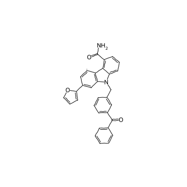 NC(=O)c1cccc2c1c1[c]cc(-c3ccco3)cc1n2Cc1cccc(C(=O)c2ccccc2)c1